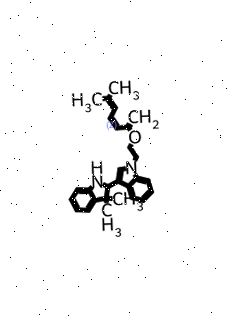 C=C(/C=C\C=C(C)C)OCCn1cc(C2Nc3ccccc3C2(C)C)c2ccccc21